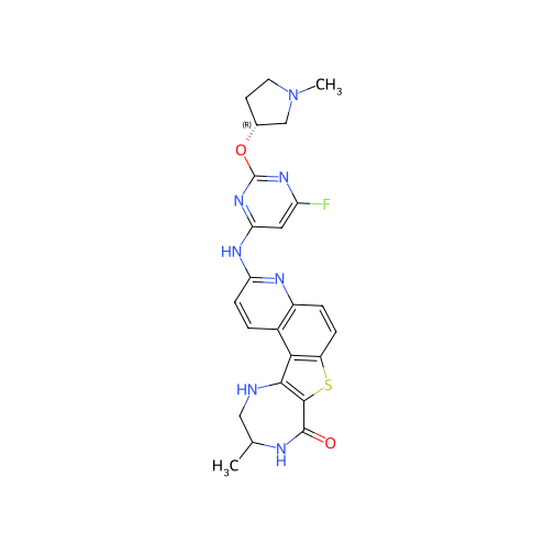 CC1CNc2c(sc3ccc4nc(Nc5cc(F)nc(O[C@@H]6CCN(C)C6)n5)ccc4c23)C(=O)N1